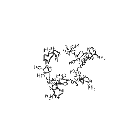 Nc1ncnc2c1ncn2[C@@H]1O[C@H](COP(O)(=S)OC2[C@@H](O)[C@@H](COP(O)(=S)OC3[C@@H](O)[C@@H](COP(O)(=S)OC4[C@@H](O)[C@@H](COP(O)(O)=S)O[C@H]4n4cnc5c(N)ncnc54)O[C@H]3n3cnc4c(N)ncnc43)O[C@H]2n2cnc3c(N)ncnc32)[C@H](O)C1O